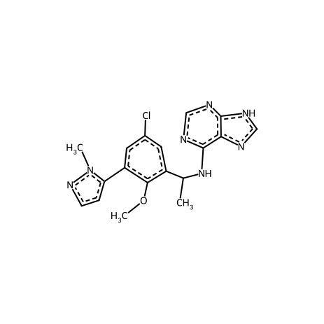 COc1c(-c2ccnn2C)cc(Cl)cc1C(C)Nc1ncnc2[nH]cnc12